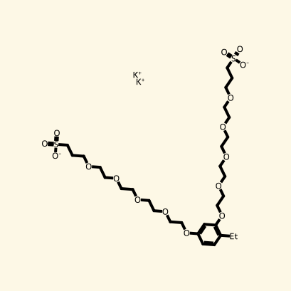 CCc1ccc(OCCOCCOCCOCCOCCCS(=O)(=O)[O-])cc1OCCOCCOCCOCCOCCCS(=O)(=O)[O-].[K+].[K+]